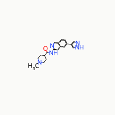 CN1CCC(C(=O)Nc2cc3cc(-c4cn[nH]c4)ccc3cn2)CC1